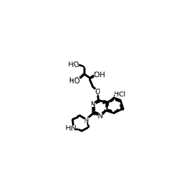 Cl.OCC(O)C(O)COc1nc(N2CCNCC2)nc2ccccc12